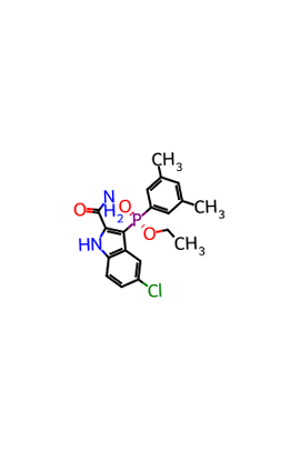 CCO[P@@](=O)(c1cc(C)cc(C)c1)c1c(C(N)=O)[nH]c2ccc(Cl)cc12